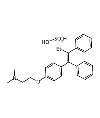 CCC(=C(c1ccccc1)c1ccc(OCCN(C)C)cc1)c1ccccc1.O=S(=O)(O)O